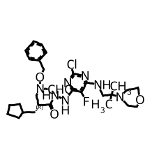 CC(C)(CNc1nc(Cl)nc(NNC(=O)[C@H](CC2CCCC2)CN(C=O)OCc2ccccc2)c1F)N1CCOCC1